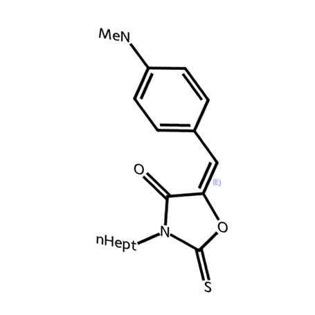 CCCCCCCN1C(=O)/C(=C\c2ccc(NC)cc2)OC1=S